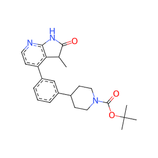 CC1C(=O)Nc2nccc(-c3cccc(C4CCN(C(=O)OC(C)(C)C)CC4)c3)c21